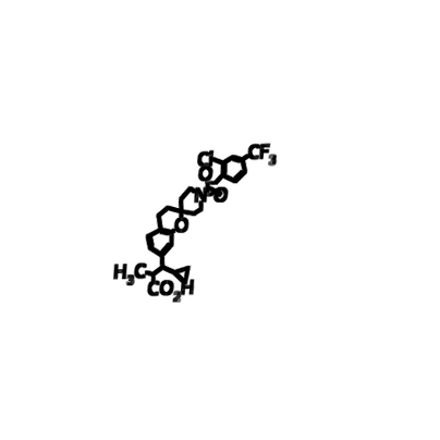 C[C@H](C(=O)O)C(c1ccc2c(c1)OC1(CC2)CCN(S(=O)(=O)c2ccc(C(F)(F)F)cc2Cl)CC1)C1CC1